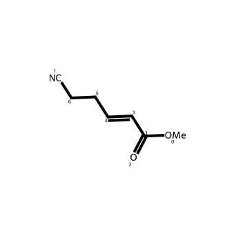 COC(=O)C=CCCC#N